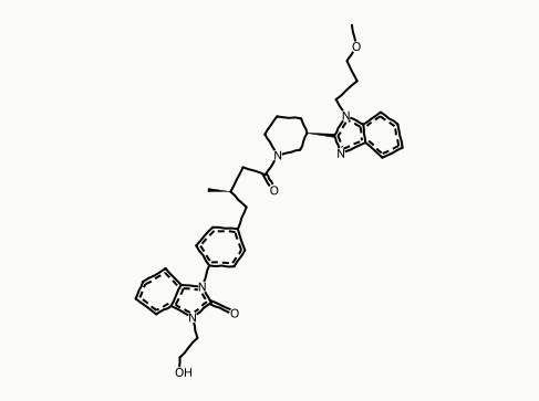 COCCCn1c([C@@H]2CCCN(C(=O)C[C@H](C)Cc3ccc(-n4c(=O)n(CCO)c5ccccc54)cc3)C2)nc2ccccc21